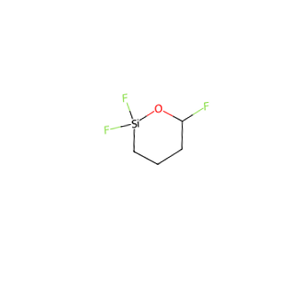 FC1CCC[Si](F)(F)O1